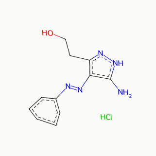 Cl.Nc1[nH]nc(CCO)c1N=Nc1ccccc1